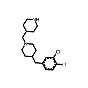 Clc1ccc(CC2CCN(CC3CCNCC3)CC2)cc1Cl